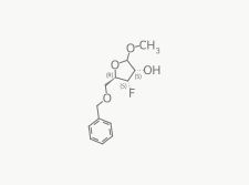 COC1O[C@H](COCc2ccccc2)[C@@H](F)[C@H]1O